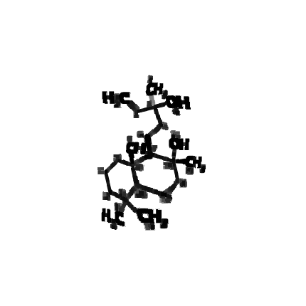 C=C[C@@](C)(O)CC[C@@H]1[C@@]2(C)CCCC(C)(C)C2CC[C@@]1(C)O